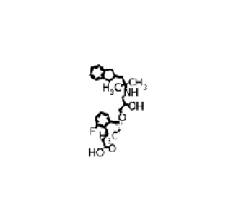 CC[C@@H](OCC(O)CNC(C)(C)CC1Cc2ccccc2C1)c1cccc(F)c1CCC(=O)O